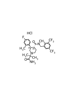 Cc1cc(F)ccc1[C@@H]1CN(C(C)(C)C(N)=O)CC[C@H]1C(=O)N(C)Cc1cc(C(F)(F)F)cc(C(F)(F)F)c1.Cl